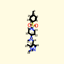 Cc1ccc(S(=O)(=O)N2CCC(N(C)Cc3cnn(C)c3C)CC2)cc1